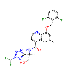 Cc1cc(OCc2c(F)cccc2F)c2nccc(C(=O)NC(C)(CO)c3nnn(C(F)F)n3)c2c1